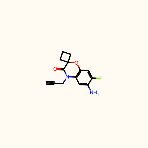 C#CCN1C(=O)C2(CCC2)Oc2cc(F)c(N)cc21